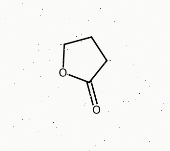 O=C1[CH]C[CH]O1